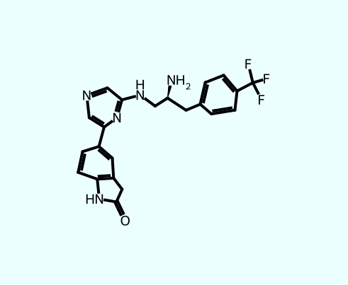 N[C@H](CNc1cncc(-c2ccc3c(c2)CC(=O)N3)n1)Cc1ccc(C(F)(F)F)cc1